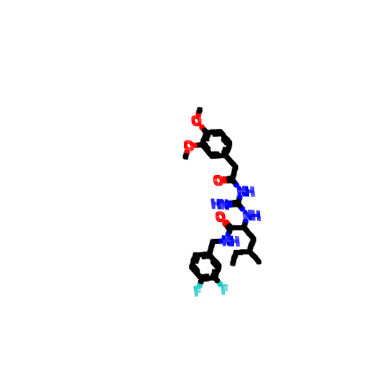 CCC(C)CC(NC(=N)NC(=O)Cc1ccc(OC)c(OC)c1)C(=O)NCc1ccc(F)c(F)c1